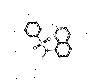 O=S(=O)(c1ccccc1)N(F)c1cccc2cccnc12